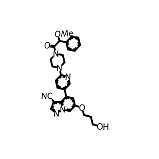 COC(C(=O)N1CCN(c2ccc(-c3cc(OCCCO)cn4ncc(C#N)c34)cn2)CC1)c1ccccc1